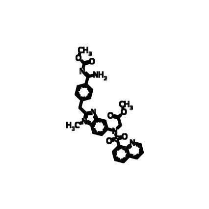 COC(=O)CN(c1ccc2c(c1)nc(Cc1ccc(C(N)=NC(=O)OC)cc1)n2C)S(=O)(=O)c1cccc2cccnc12